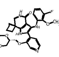 COc1c(F)cccc1Nc1c(-c2ccncc2OC[C@@H]2COCCO2)[nH]c2c1C(=O)NCC21CCC1